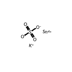 O=S(=O)([O-])[O-].[K+].[Sn+4]